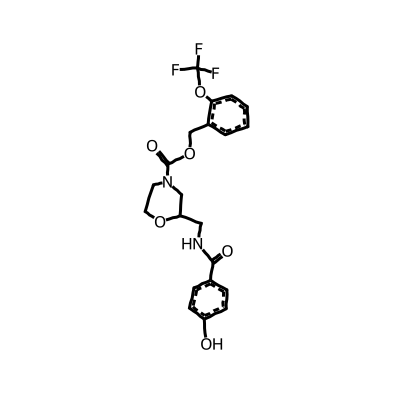 O=C(NCC1CN(C(=O)OCc2ccccc2OC(F)(F)F)CCO1)c1ccc(O)cc1